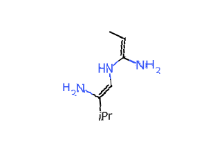 C/C=C(/N)N/C=C(\N)C(C)C